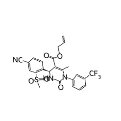 C=CCOC(=O)C1=C(C)N(c2cccc(C(F)(F)F)c2)C(=O)N[C@H]1c1ccc(C#N)cc1S(C)(=O)=O